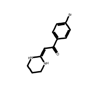 O=C(C=C1NCCCN1)c1ccc(Br)cc1